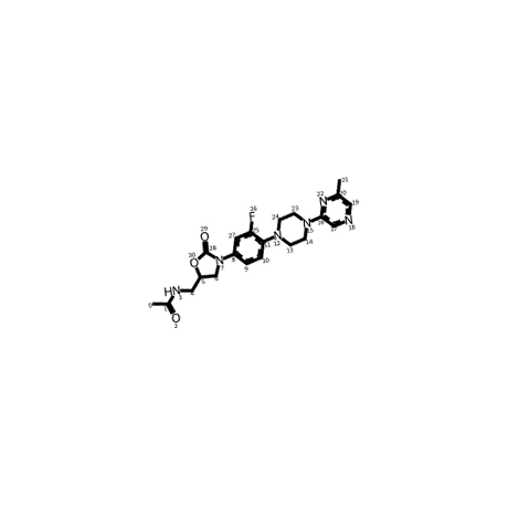 CC(=O)NCC1CN(c2ccc(N3CCN(c4cncc(C)n4)CC3)c(F)c2)C(=O)O1